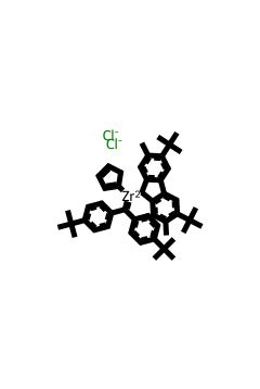 Cc1cc2c(cc1C(C)(C)C)-c1cc(C(C)(C)C)c(C)cc1[CH]2[Zr+2]([C]1=CC=CC1)=[C](c1ccc(C(C)(C)C)cc1)c1ccc(C(C)(C)C)cc1.[Cl-].[Cl-]